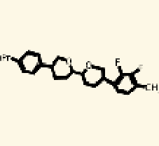 CCCc1ccc(C2CCC(C3CCC(c4ccc(C)c(F)c4F)CO3)OC2)cc1